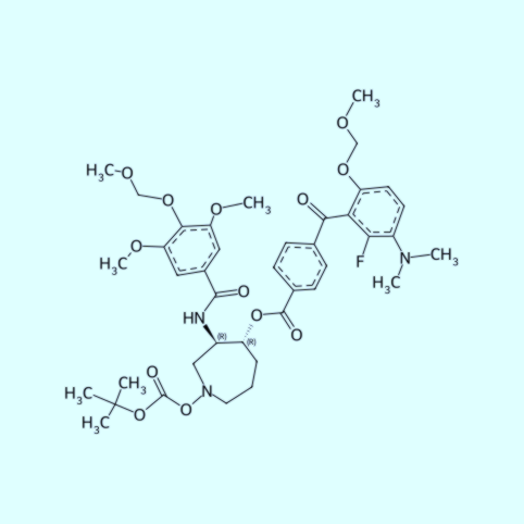 COCOc1ccc(N(C)C)c(F)c1C(=O)c1ccc(C(=O)O[C@@H]2CCCN(OC(=O)OC(C)(C)C)C[C@H]2NC(=O)c2cc(OC)c(OCOC)c(OC)c2)cc1